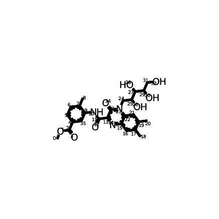 COC(=O)c1ccc(C)c(NC(=O)c2nc3cc(C)c(C)cc3n(CC(O)C(O)C(O)CO)c2=O)c1